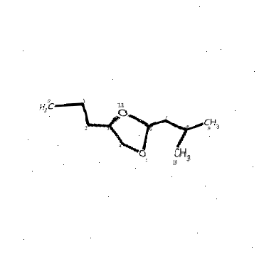 CCCC1COC(CC(C)C)O1